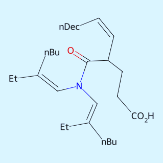 CCCCCCCCCC/C=C\C(CCC(=O)O)C(=O)N(/C=C(/CC)CCCC)/C=C(\CC)CCCC